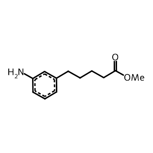 COC(=O)CCCCc1cccc(N)c1